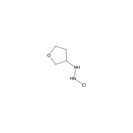 ClNNC1CCOC1